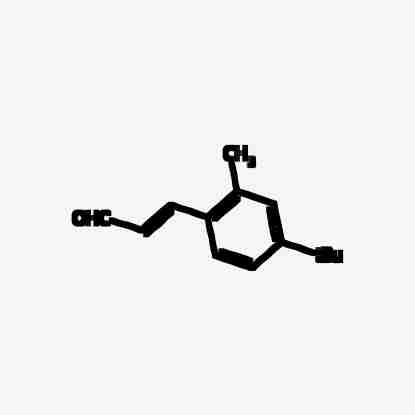 Cc1cc(C(C)(C)C)ccc1C=CC=O